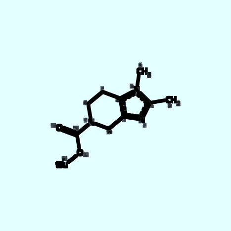 Cc1nc2c(n1C)CCN(C(=O)OC(C)(C)C)C2